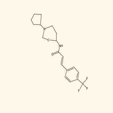 O=C(C=Cc1ccc(C(F)(F)F)cc1)NC1CCN(C2CCCC2)CC1